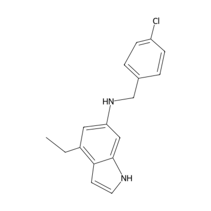 CCc1cc(NCc2ccc(Cl)cc2)cc2[nH]ccc12